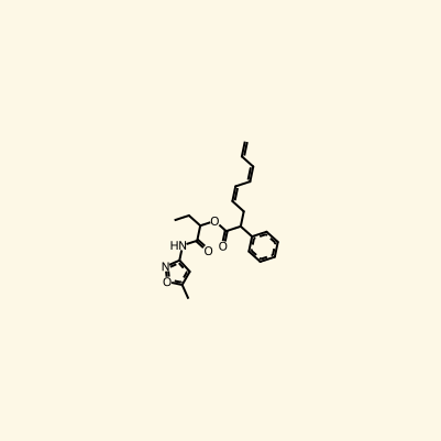 C=C/C=C\C=C/CC(C(=O)OC(CC)C(=O)Nc1cc(C)on1)c1ccccc1